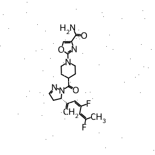 C=C(/C=C(F)\C=C(/C)F)[C@@H]1CC=NN1C(=O)C1CCN(c2nc(C(N)=O)co2)CC1